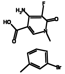 Cc1cccc(Br)c1.Cn1cc(C(=O)O)c(N)c(F)c1=O